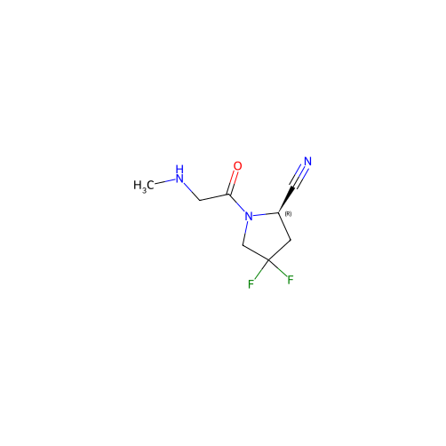 CNCC(=O)N1CC(F)(F)C[C@@H]1C#N